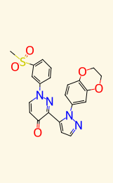 CS(=O)(=O)c1cccc(-n2ccc(=O)c(-c3ccnn3-c3ccc4c(c3)OCCO4)n2)c1